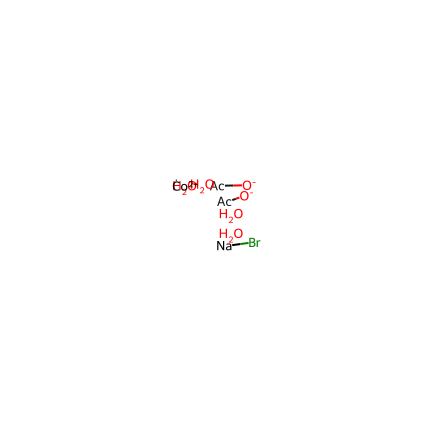 CC(=O)[O-].CC(=O)[O-].O.O.O.O.[Co+2].[Na][Br]